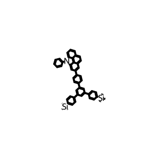 C[Si](C)(C)c1ccc(-c2cc(-c3ccc(-c4cc5ccc6cccc7c6c5c(c4)n7-c4ccccc4)cc3)cc(-c3ccc([Si](C)(C)C)cc3)c2)cc1